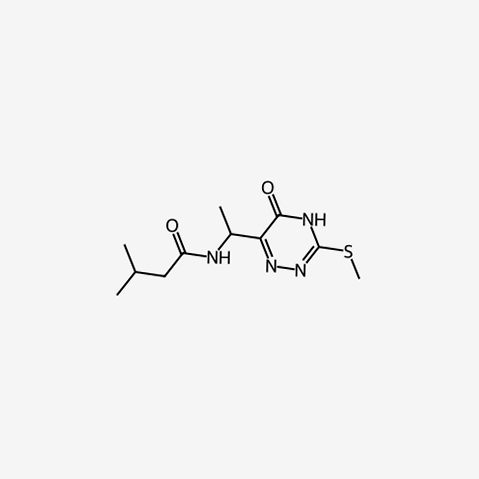 CSc1nnc(C(C)NC(=O)CC(C)C)c(=O)[nH]1